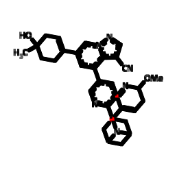 COC1CC=C(CN2C3CC2CN(c2ccc(-c4cc(C5=CCC(C)(O)CC5)cn5ncc(C#N)c45)cn2)C3)C=N1